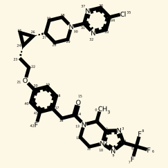 CC1c2nc(C(F)(F)F)nn2CCN1C(=O)Cc1ccc(OCC[C@@H]2C[C@@H]2C2CCN(c3ncc(Cl)cn3)CC2)cc1F